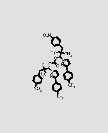 CC(C)(Cc1ccc([N+](=O)[O-])cc1)[C@H](OC(=O)O[C@H](n1ccc(-c2ccc(C(F)(F)F)cc2)n1)C(C)(C)Cc1ccc([N+](=O)[O-])cc1)n1ccc(-c2ccc(C(F)(F)F)cc2)n1